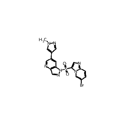 Cn1cc(-c2cnc3cnn(S(=O)(=O)c4cnc5ccc(Br)cn45)c3c2)cn1